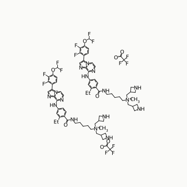 CCc1cc(Nc2nccn3c(-c4ccc(OC(F)F)c(F)c4F)cnc23)ccc1C(=O)NCCCCC[N+](C)(CC1CNC1)CC1CNC1.CCc1cc(Nc2nccn3c(-c4ccc(OC(F)F)c(F)c4F)cnc23)ccc1C(=O)NCCCCC[N+](C)(CC1CNC1)CC1CNC1.O=C([O-])C(F)(F)F.O=C([O-])C(F)(F)F